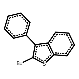 CCC(C)c1sc2ccccc2c1-c1ccccc1